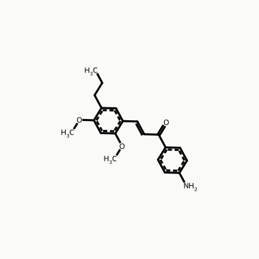 CCCc1cc(C=CC(=O)c2ccc(N)cc2)c(OC)cc1OC